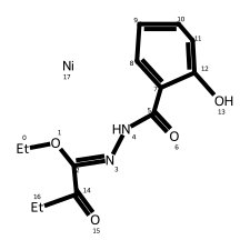 CCOC(=NNC(=O)c1ccccc1O)C(=O)CC.[Ni]